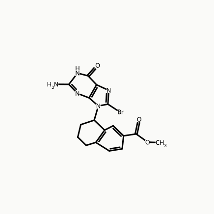 COC(=O)c1ccc2c(c1)C(n1c(Br)nc3c(=O)[nH]c(N)nc31)CCC2